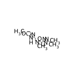 CCN(CCc1nc2ccc(OC)cc2[nH]1)C(=O)c1cccn2c(C(C)C)nnc12